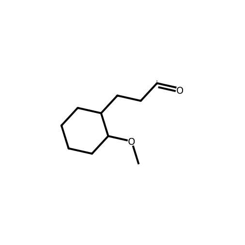 COC1CCCCC1CC[C]=O